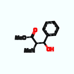 CNC(C(=O)OC)C(O)c1ccccc1